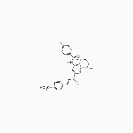 Cc1ccc(C(=O)N(C)c2cc(C(=O)/C=C/c3ccc(C(=O)O)cc3)cc3c2C(C)(C)CCC3(C)C)cc1